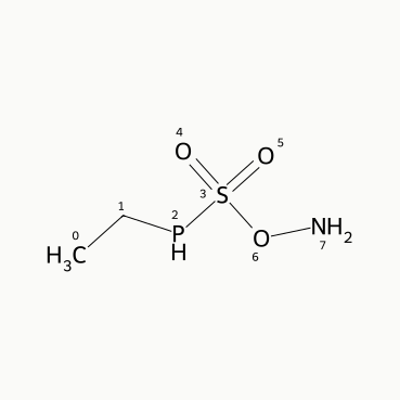 CCPS(=O)(=O)ON